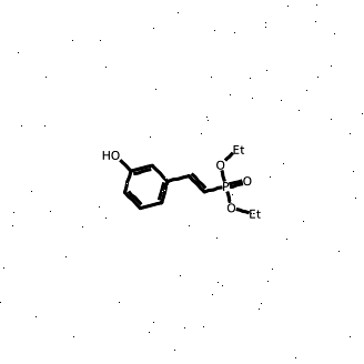 CCOP(=O)(C=Cc1cccc(O)c1)OCC